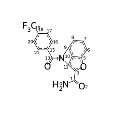 NC(=O)c1oc2cccc3c2c1N3C(=O)c1ccc(C(F)(F)F)cc1